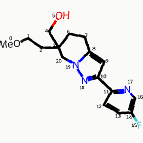 COCCC1(CO)CCc2cc(-c3ccc(F)cn3)nn2C1